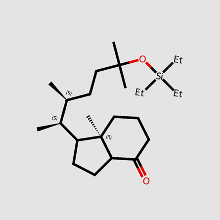 CC[Si](CC)(CC)OC(C)(C)CC[C@H](C)[C@H](C)C1CCC2C(=O)CCC[C@@]21C